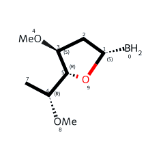 B[C@H]1C[C@H](OC)[C@@H]([C@@H](C)OC)O1